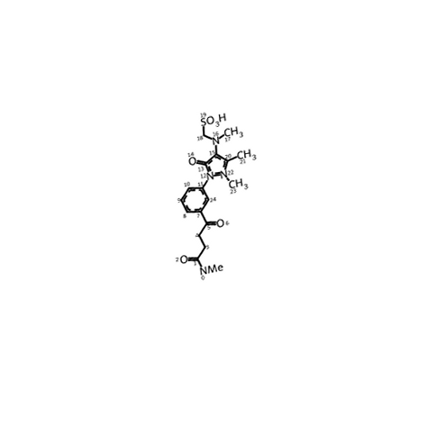 CNC(=O)CCC(=O)c1cccc(-n2c(=O)c(N(C)CS(=O)(=O)O)c(C)n2C)c1